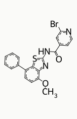 COc1ccc(-c2ccccc2)c2sc(NC(=O)c3ccnc(Br)c3)nc12